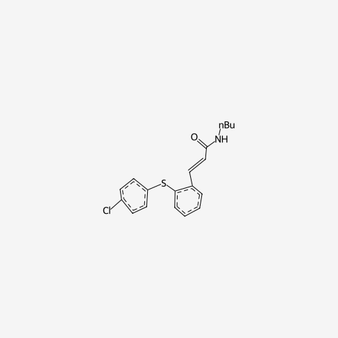 CCCCNC(=O)C=Cc1ccccc1Sc1ccc(Cl)cc1